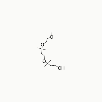 COCCOC(C)(C)CCOC(C)(C)CCO